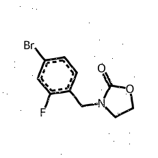 O=C1OCCN1Cc1ccc(Br)cc1F